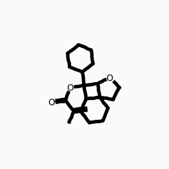 C=C(C)C(=O)OC1(C2CCCCC2)C2CCCCC23CCOC31